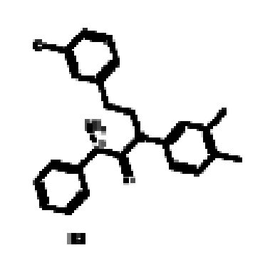 Cc1ccc(N(CCc2cccc(Cl)c2)C(=O)[C@@H](N)c2ccccc2)cc1C.Cl